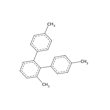 Cc1ccc(-c2[c]ccc(C)c2-c2ccc(C)cc2)cc1